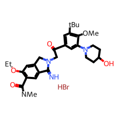 Br.CCOc1cc2c(cc1C(=O)NC)C(=N)N(CC(=O)c1cc(N3CCC(O)CC3)c(OC)c(C(C)(C)C)c1)C2